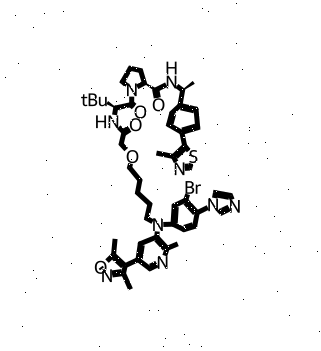 Cc1ncc(-c2c(C)noc2C)cc1N(CCCCCOCC(=O)N[C@H](C(=O)N1CCC[C@H]1C(=O)N[C@@H](C)c1ccc(-c2scnc2C)cc1)C(C)(C)C)c1ccc(-n2ccnc2)c(Br)c1